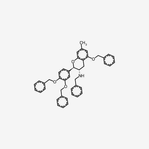 Cc1cc(OCc2ccccc2)c2c(c1)O[C@H](c1ccc(OCc3ccccc3)c(OCc3ccccc3)c1)[C@@H](NCc1ccccc1)C2